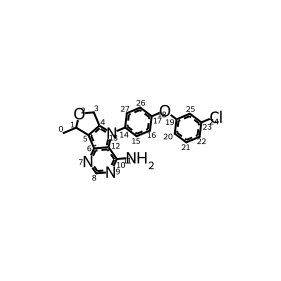 CC1OCc2c1c1ncnc(N)c1n2-c1ccc(Oc2cccc(Cl)c2)cc1